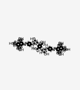 O=C(O)c1cc(Nc2nc(O)nc(Nc3ccc(/N=N/c4cc(S(=O)(=O)O)c5cc(S(=O)(=O)O)cc(S(=O)(=O)O)c5c4)cc3)n2)c(C(=O)O)cc1Nc1nc(O)nc(Nc2ccc(/N=N/c3cc(S(=O)(=O)O)c4cc(S(=O)(=O)O)cc(S(=O)(=O)O)c4c3)cc2)n1